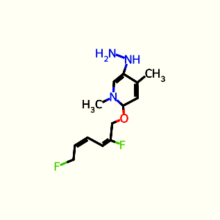 CC1=CC(OC/C(F)=C\C=C/CF)N(C)C=C1NN